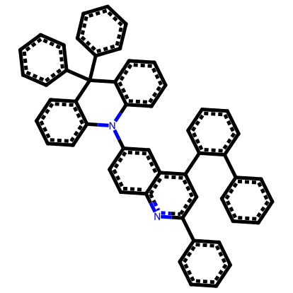 c1ccc(-c2cc(-c3ccccc3-c3ccccc3)c3cc(N4c5ccccc5C(c5ccccc5)(c5ccccc5)c5ccccc54)ccc3n2)cc1